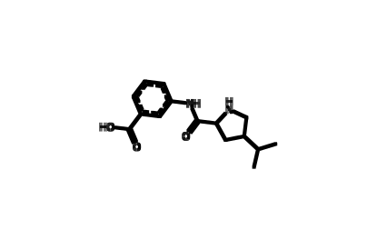 CC(C)C1CNC(C(=O)Nc2cccc(C(=O)O)c2)C1